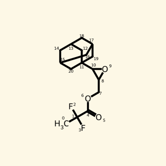 CC(F)(F)C(=O)OCC1OC1C12CC3CC(CC(C3)C1)C2